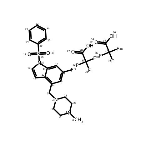 CN1CCN(Cc2cc(F)cc3c2ccn3S(=O)(=O)c2ccccc2)CC1.O=C(O)C(F)(F)F.O=C(O)C(F)(F)F